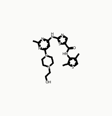 Cc1nc(Nc2ncc(C(=O)Nc3c(C)csc3C)s2)cc(N2CCN(CCO)CC2)n1